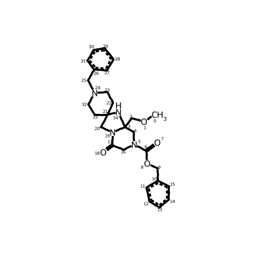 COCC12CN(C(=O)OCc3ccccc3)CC(=O)N1CC1(CCN(Cc3ccccc3)CC1)N2